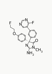 CN1C(=O)[C@](c2ccc(OCCF)cc2)(c2cccc(-c3cncnc3F)c2)N=C1N